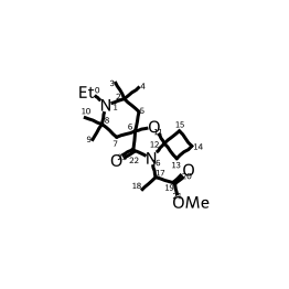 CCN1C(C)(C)CC2(CC1(C)C)OC1(CCC1)N(C(C)C(=O)OC)C2=O